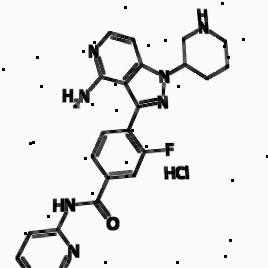 Cl.Nc1nccc2c1c(-c1ccc(C(=O)Nc3ccccn3)cc1F)nn2C1CCCNC1